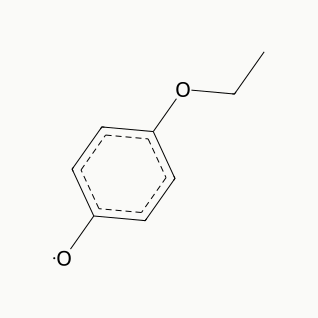 CCOc1ccc([O])cc1